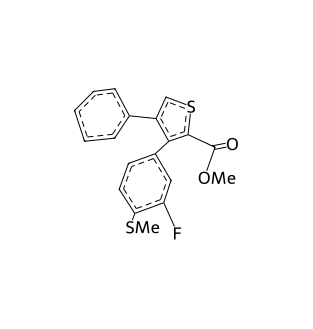 COC(=O)c1scc(-c2ccccc2)c1-c1ccc(SC)c(F)c1